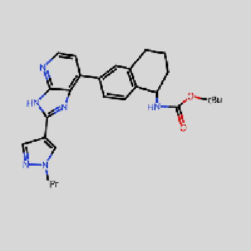 CC(C)n1cc(-c2nc3c(-c4ccc5c(c4)CCCC5NC(=O)OC(C)(C)C)ccnc3[nH]2)cn1